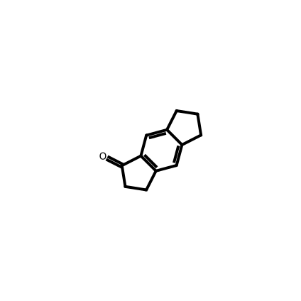 O=C1CCc2cc3c(cc21)CCC3